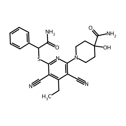 CCc1c(C#N)c(SC(C(N)=O)c2ccccc2)nc(N2CCC(O)(C(N)=O)CC2)c1C#N